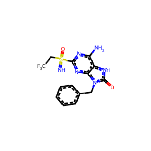 N=S(=O)(CC(F)(F)F)c1nc(N)c2[nH]c(=O)n(Cc3ccccc3)c2n1